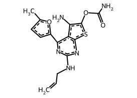 C=CCNc1nc(-c2ccc(C)o2)c2c(N)c(OC(N)=O)sc2n1